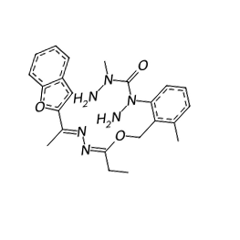 CCC(=NN=C(C)c1cc2ccccc2o1)OCc1c(C)cccc1N(N)C(=O)N(C)N